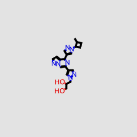 CC1CCC1n1cc(-c2nc(-c3cnn(CC(O)CO)c3)cn3nccc23)cn1